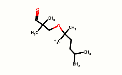 BC(C)CCC(C)(C)OCC(C)(C)C=O